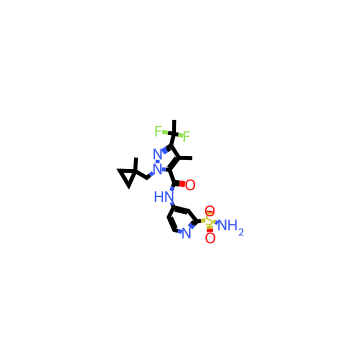 Cc1c(C(C)(F)F)nn(CC2(C)CC2)c1C(=O)Nc1ccnc(S(N)(=O)=O)c1